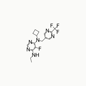 CCNc1ncnc(N(Cc2cnc(C(F)(F)F)nc2)C2CCC2)c1F